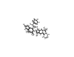 CC(Nc1c(-c2nc3cc(C(F)(F)F)c(N4CCOCC4)cc3[nH]2)c(=O)[nH]c2cn(C)nc12)c1ncccn1